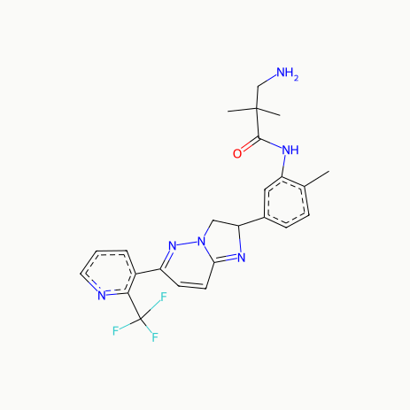 Cc1ccc(C2CN3N=C(c4cccnc4C(F)(F)F)C=CC3=N2)cc1NC(=O)C(C)(C)CN